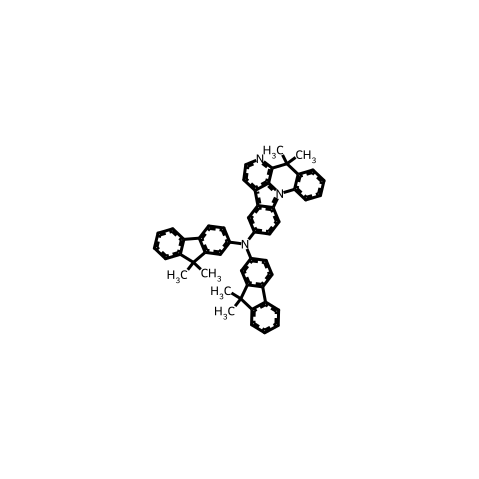 CC1(C)c2ccccc2-c2ccc(N(c3ccc4c(c3)C(C)(C)c3ccccc3-4)c3ccc4c(c3)c3ccnc5c3n4-c3ccccc3C5(C)C)cc21